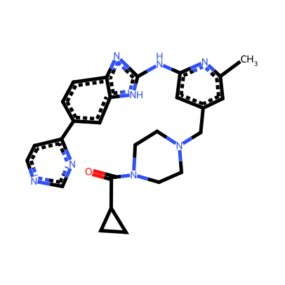 Cc1cc(CN2CCN(C(=O)C3CC3)CC2)cc(Nc2nc3ccc(-c4ccncn4)cc3[nH]2)n1